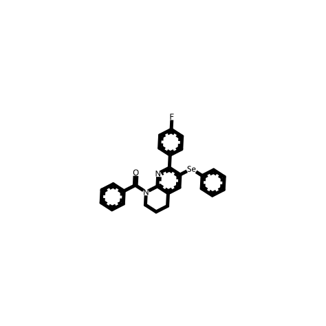 O=C(c1ccccc1)N1CCCc2cc([Se]c3ccccc3)c(-c3ccc(F)cc3)nc21